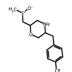 C[S+]([O-])CC1CNC(Cc2ccc(C(F)(F)F)cc2)CO1